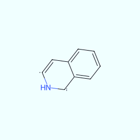 [C]1N[C]=Cc2ccccc21